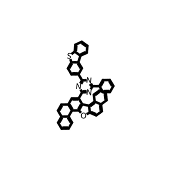 c1ccc(-c2nc(-c3ccc4sc5ccccc5c4c3)nc(-c3cc4ccc5ccccc5c4c4oc5ccc6ccccc6c5c34)n2)cc1